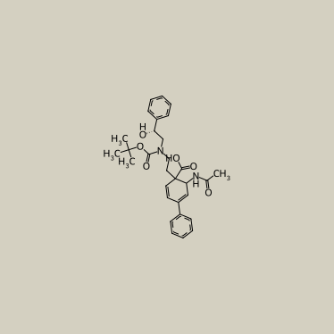 CC(=O)NC1C=C(c2ccccc2)C=CC1(CCN(C[C@H](O)c1ccccc1)C(=O)OC(C)(C)C)C(=O)O